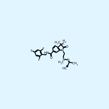 C#C/C(C)=N\N(C)CCN1C(=O)C(C)(C)c2ccc(C(=O)NCc3c(F)cc(F)cc3F)cc21